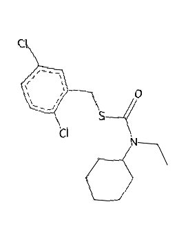 CCN(C(=O)SCc1cc(Cl)ccc1Cl)C1CCCCC1